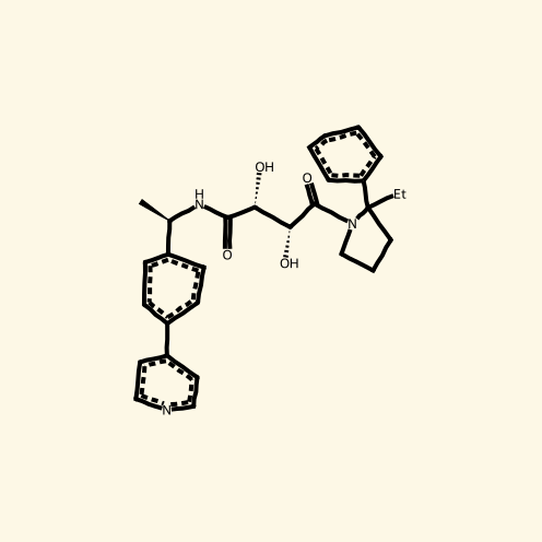 CCC1(c2ccccc2)CCCN1C(=O)[C@H](O)[C@@H](O)C(=O)N[C@H](C)c1ccc(-c2ccncc2)cc1